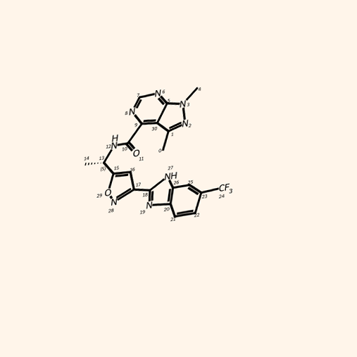 Cc1nn(C)c2ncnc(C(=O)N[C@@H](C)c3cc(-c4nc5ccc(C(F)(F)F)cc5[nH]4)no3)c12